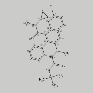 CC(NC(=O)OC(C)(C)C)c1nc2ccc(F)cc2c(C(=O)N(C)C2CC2)c1-c1ccccc1